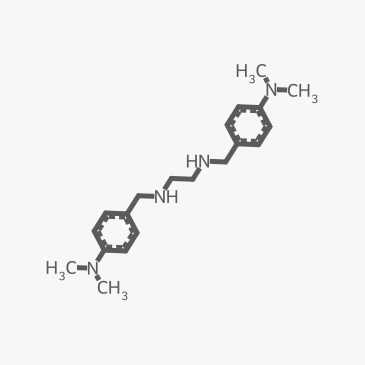 CN(C)c1ccc(CNCCNCc2ccc(N(C)C)cc2)cc1